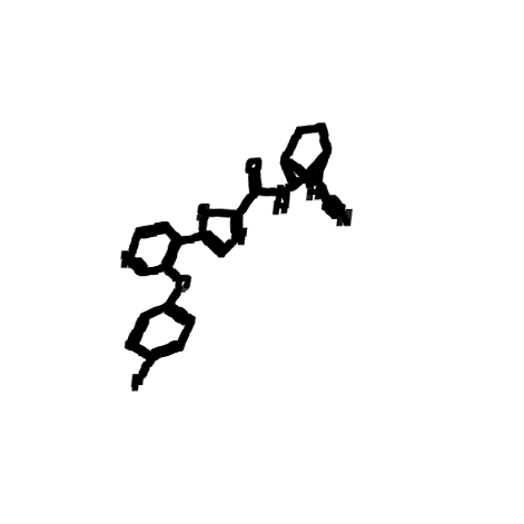 N#CN1CC2CCC1[C@@H]2NC(=O)c1ncc(-c2ccncc2Oc2ccc(F)cc2)s1